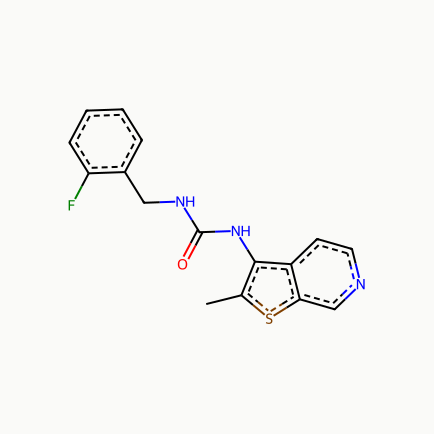 Cc1sc2cnccc2c1NC(=O)NCc1ccccc1F